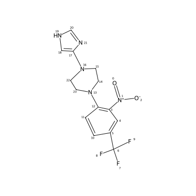 O=[N+]([O-])c1cc(C(F)(F)F)ccc1N1CCN(c2c[nH]cn2)CC1